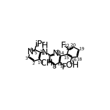 Cc1ccnc(C(C)C)c1Nc1[c]cc(F)c(-c2c(O)cccc2F)n1